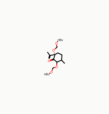 C=C(C)[C@@]1(OCOCCCC)CCC(C)C(OCOCCCC)C1=O